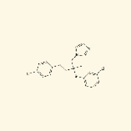 CC(CCc1ccc(Cl)cc1)(Cn1ccnc1)Sc1cccc(Cl)c1